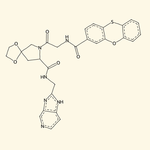 O=C(NCC(=O)N1CC2(CC1C(=O)NCc1nc3cnccc3[nH]1)OCCO2)c1ccc2c(c1)Oc1ccccc1S2